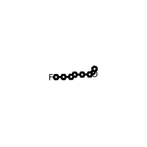 Fc1ccc(-c2ccc(-c3ccc4cc(-c5ccc(-c6ccc7oc8ccccc8c7c6)cc5)ccc4c3)cc2)cc1